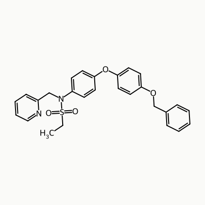 CCS(=O)(=O)N(Cc1ccccn1)c1ccc(Oc2ccc(OCc3ccccc3)cc2)cc1